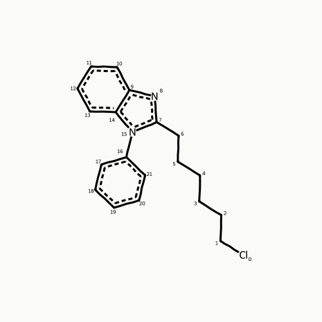 ClCCCCCCc1nc2ccccc2n1-c1ccccc1